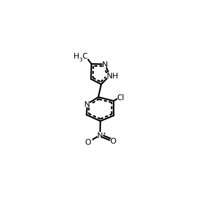 Cc1cc(-c2ncc([N+](=O)[O-])cc2Cl)[nH]n1